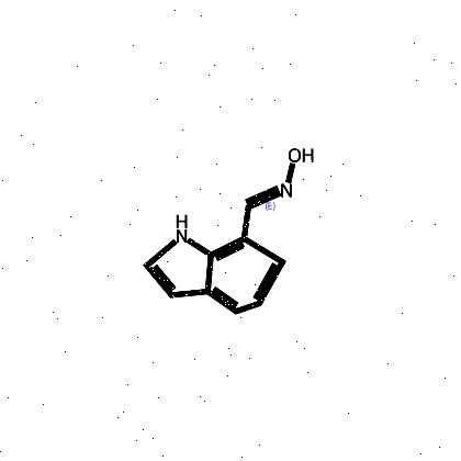 O/N=C/c1cccc2cc[nH]c12